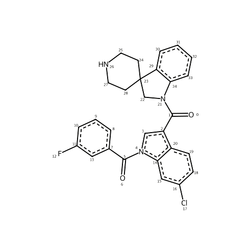 O=C(c1cn(C(=O)c2cccc(F)c2)c2cc(Cl)ccc12)N1CC2(CCNCC2)c2ccccc21